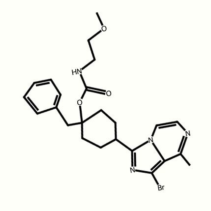 COCCNC(=O)OC1(Cc2ccccc2)CCC(c2nc(Br)c3c(C)nccn23)CC1